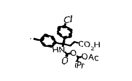 [CH2]c1ccc(C(CCC(=O)O)(NC(=O)OC(OC(C)=O)C(C)C)c2ccc(Cl)cc2)cc1